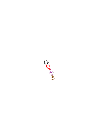 O=[P]=S.[Li]